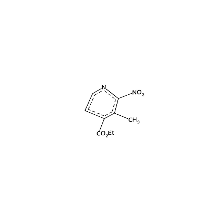 CCOC(=O)c1ccnc([N+](=O)[O-])c1C